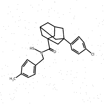 Cc1ccc(CN(S)C(=O)C23CC4CC(C2)CC(c2ccc(Cl)cc2)(C4)C3)cc1